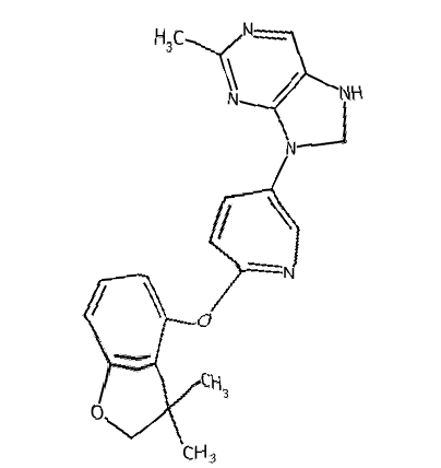 Cc1ncc2c(n1)N(c1ccc(Oc3cccc4c3C(C)(C)CO4)nc1)CN2